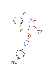 N#Cc1ccc(N2CC(OCc3c(-c4c(Cl)cccc4Cl)noc3C3CC3)C2)cc1